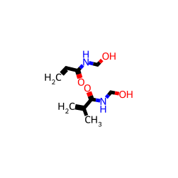 C=C(C)C(=O)NCO.C=CC(=O)NCO